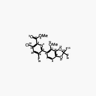 COC(=O)c1nc(-c2ccc3c(c2OC)OC(F)(F)O3)c(F)cc1Cl